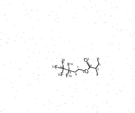 CCC(C)C(=O)OCCC(F)(F)C(F)(F)F